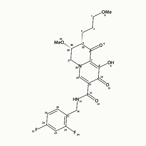 COCCC[C@@H]1C(=O)c2c(O)c(=O)c(C(=O)NCc3ccc(F)cc3F)cn2C[C@@H]1OC